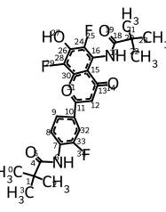 CC(C)(C)C(=O)Nc1ccc(-c2cc(=O)c3c(NC(=O)C(C)(C)C)c(F)c(O)c(F)c3o2)cc1F